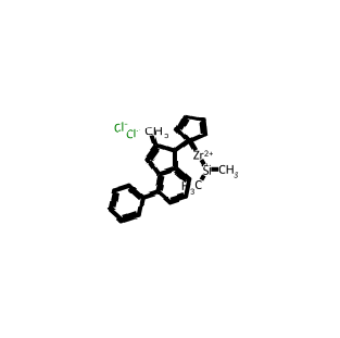 CC1=Cc2c(-c3ccccc3)cccc2C1[C]1([Zr+2][Si](C)C)C=CC=C1.[Cl-].[Cl-]